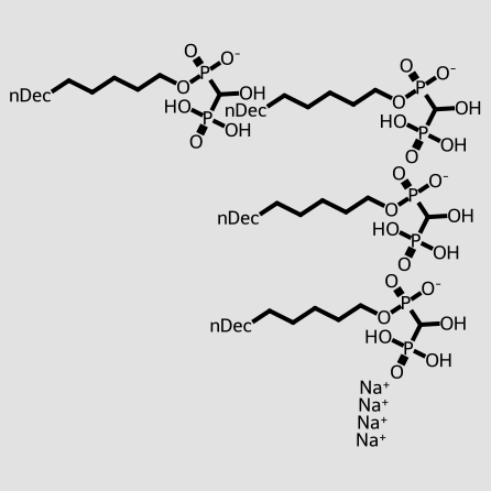 CCCCCCCCCCCCCCCOP(=O)([O-])C(O)P(=O)(O)O.CCCCCCCCCCCCCCCOP(=O)([O-])C(O)P(=O)(O)O.CCCCCCCCCCCCCCCOP(=O)([O-])C(O)P(=O)(O)O.CCCCCCCCCCCCCCCOP(=O)([O-])C(O)P(=O)(O)O.[Na+].[Na+].[Na+].[Na+]